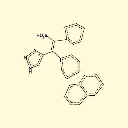 O=S(=O)(O)C(=C(c1ccccc1)c1c[nH]nn1)c1ccccc1.c1ccc2ccccc2c1